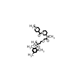 Cc1cc(C)c(S(=O)(=O)N(C)CCOCC(=O)N(C)C2CCCN(C(=O)C3CCN(C)CC3)C2)c(C)c1